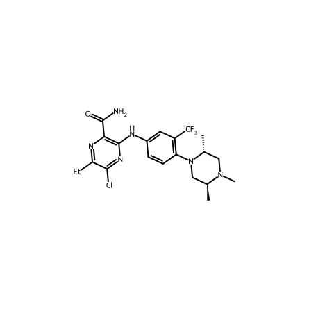 CCc1nc(C(N)=O)c(Nc2ccc(N3C[C@H](C)N(C)C[C@H]3C)c(C(F)(F)F)c2)nc1Cl